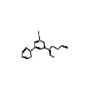 C=CCC/C(=C\C)C1C=C(C2C=CC=CC2)C=C(I)C1